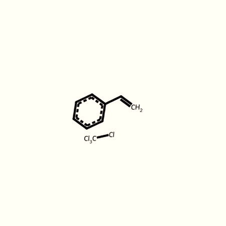 C=Cc1ccccc1.ClC(Cl)(Cl)Cl